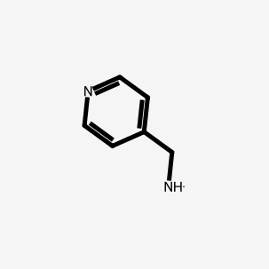 [NH]Cc1ccncc1